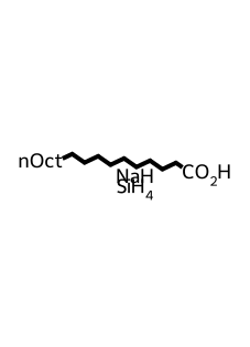 CCCCCCCCCCCCCCCCCC(=O)O.[NaH].[SiH4]